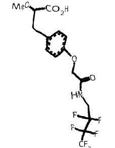 COC(Cc1ccc(OCC(=O)NCC(F)(F)C(F)(F)C(F)(F)F)cc1)C(=O)O